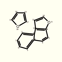 c1ccc2c(c1)ccc1occc12.c1ccoc1